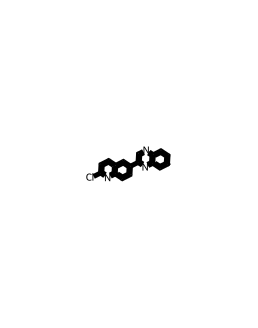 Clc1ccc2cc(-c3cnc4cc[c]cc4n3)ccc2n1